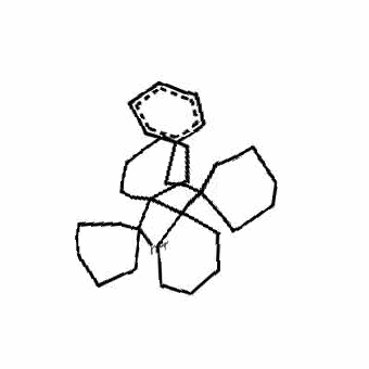 CCCC1(C2(C3(C4(Cc5ccccc5)CCCCC4)CCCCC3)CCCCC2)CCCCC1